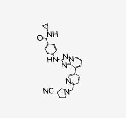 N#C[C@H]1CCN(Cc2ccc(-c3cccn4nc(Nc5ccc(C(=O)NC6CC6)cc5)nc34)cn2)C1